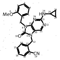 COc1ccccc1Cn1c(=O)n(Cc2ccccc2C#N)c2cnc(NC3CC3)nc21